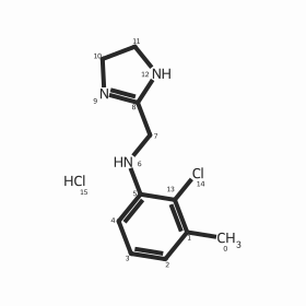 Cc1cccc(NCC2=NCCN2)c1Cl.Cl